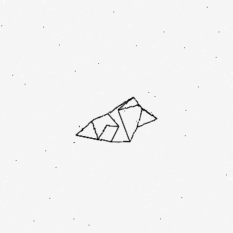 C1C2C3C2C2C1C3C1C3CC4C1C4C32